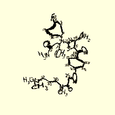 CC(C(N)=O)N(c1ccc(F)cc1)c1nc(N)c(C(=O)c2ccc(OCC(=O)N(C)CCCN(C)C)cc2)s1